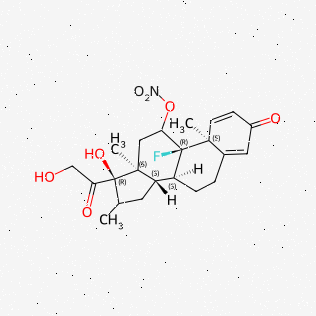 CC1C[C@H]2[C@@H]3CCC4=CC(=O)C=C[C@]4(C)[C@@]3(F)C(O[N+](=O)[O-])C[C@]2(C)[C@@]1(O)C(=O)CO